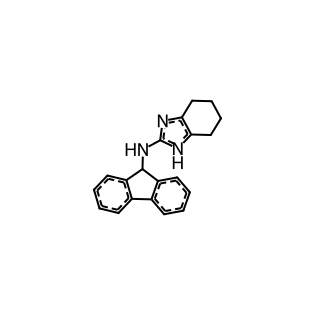 c1ccc2c(c1)-c1ccccc1C2Nc1nc2c([nH]1)CCCC2